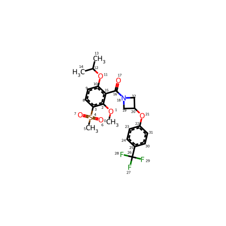 COc1c(S(C)(=O)=O)ccc(OC(C)C)c1C(=O)N1CC(Oc2ccc(C(F)(F)F)cc2)C1